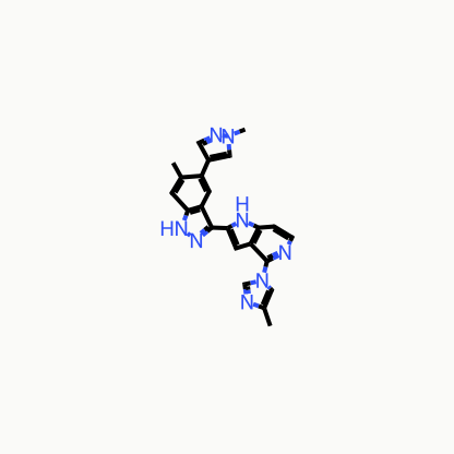 Cc1cn(-c2nccc3[nH]c(-c4n[nH]c5cc(C)c(-c6cnn(C)c6)cc45)cc23)cn1